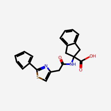 O=C(Cc1csc(-c2ccccc2)n1)NC1(C(=O)O)Cc2ccccc2C1